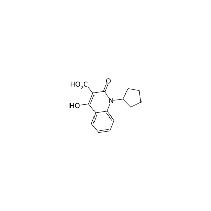 O=C(O)c1c(O)c2ccccc2n(C2CCCC2)c1=O